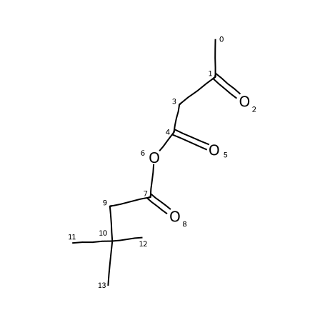 CC(=O)CC(=O)OC(=O)CC(C)(C)C